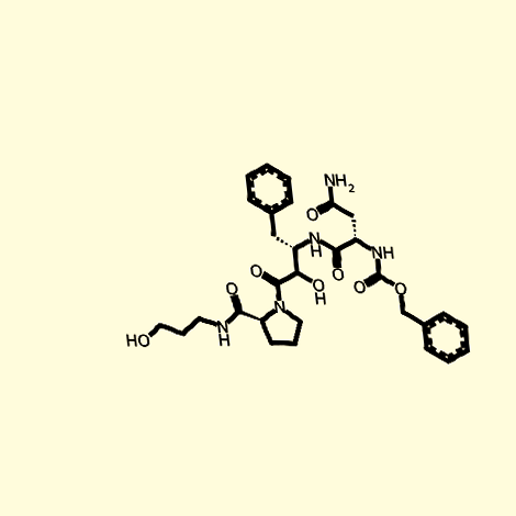 NC(=O)C[C@H](NC(=O)OCc1ccccc1)C(=O)N[C@@H](Cc1ccccc1)C(O)C(=O)N1CCC[C@H]1C(=O)NCCCO